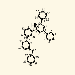 C1=C(c2ccccc2)C=C(c2cccc(-c3cccc(Cc4ccccc4)c3)c2)NC1c1ccccc1